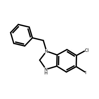 Clc1cc2c(cc1I)NCN2Cc1ccccc1